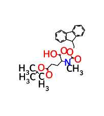 CN(C(=O)OCC1c2ccccc2-c2ccccc21)C(CCC(=O)OC(C)(C)C)C(=O)O